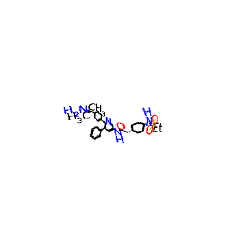 CCS(=O)(=O)N[C@H]1CC[C@H](CC(=O)Nc2cnc(-c3ccc(C(C)(C)N)cc3)c(-c3ccccc3)c2)CC1